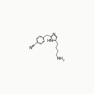 N#Cc1ccc(Cc2ncc(CCCCN)[nH]2)cc1